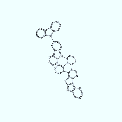 c1ccc(-c2ncnc3c2sc2nc4cccnc4n23)c(-c2ccccc2-n2c3ccccc3c3cc(-n4c5ccccc5c5ccccc54)ccc32)c1